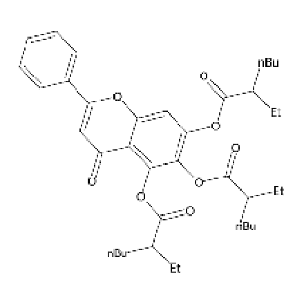 CCCCC(CC)C(=O)Oc1cc2oc(-c3ccccc3)cc(=O)c2c(OC(=O)C(CC)CCCC)c1OC(=O)C(CC)CCCC